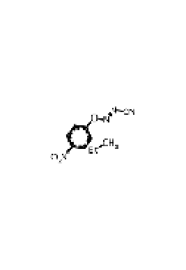 CCC.N#CN=NOc1ccc([N+](=O)[O-])cc1